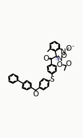 CC(=O)O/N=C(\C(=O)c1ccc(Sc2ccc(C(=O)c3ccc(-c4ccccc4)cc3)cc2)cc1)c1c(C)cccc1[N+](=O)[O-]